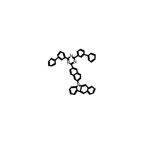 c1ccc(-c2cccc(-c3nc(-c4cccc(-c5ccccc5)c4)nc(-c4ccc5cc(-n6c7ccccc7c7cc8ccccc8cc76)ccc5c4)n3)c2)cc1